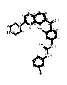 O=C(Nc1cccc(F)c1)Nc1ccc(C(=O)c2ccc3ncc(N4CCNCC4)nc3c2)c(F)c1